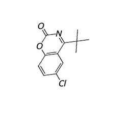 CC(C)(C)c1nc(=O)oc2ccc(Cl)cc12